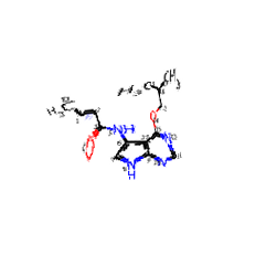 C/C=C/C(=O)Nc1c[nH]c2ncnc(OCC(C)C)c12